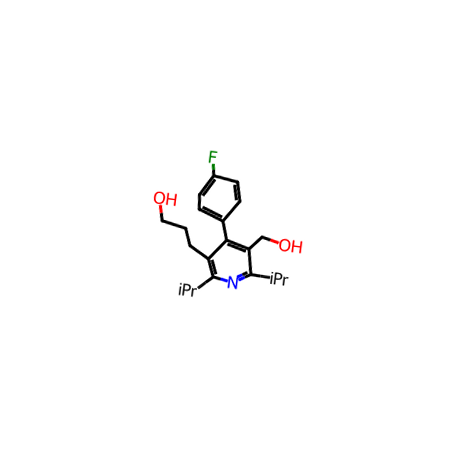 CC(C)c1nc(C(C)C)c(CCCO)c(-c2ccc(F)cc2)c1CO